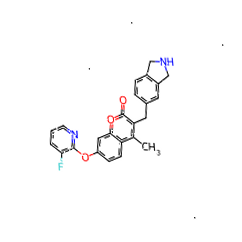 Cc1c(Cc2ccc3c(c2)CNC3)c(=O)oc2cc(Oc3ncccc3F)ccc12